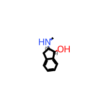 CN[C@H]1Cc2ccccc2[C@@H]1O